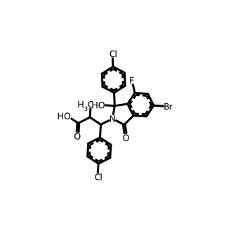 CC(C(=O)O)C(c1ccc(Cl)cc1)N1C(=O)c2cc(Br)cc(F)c2C1(O)c1ccc(Cl)cc1